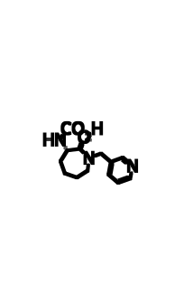 O=C(O)N[C@H]1CCCCN(Cc2cccnc2)C1=O